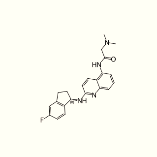 CN(C)CC(=O)Nc1cccc2nc(N[C@@H]3CCc4cc(F)ccc43)ccc12